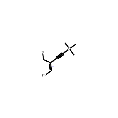 C[Si](C)(C)C#C/C(=C/S)CBr